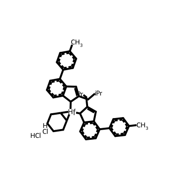 Cc1ccc(-c2cccc3c2C=C(CC(C)C)[CH]3[Hf]2([CH]3C(CC(C)C)=Cc4c(-c5ccc(C)cc5)cccc43)[CH]3CCCC[CH]32)cc1.Cl.Cl